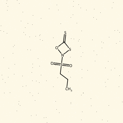 CCCS(=O)(=O)n1oc(=S)s1